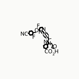 C[C@@H](c1nc2ccc(C(=O)O)cc2n1CC1CCO1)N1CCN(c2ncc(F)c(OCc3ccc(C#N)cc3F)n2)CC1